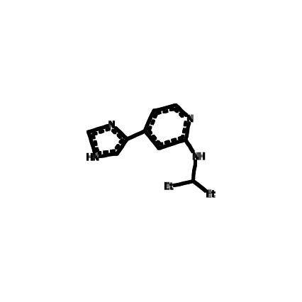 CCC(CC)Nc1cc(-c2c[nH]cn2)ccn1